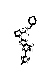 Cc1noc(-c2nc3sc(N4CCCC4C(=O)NCc4ccccc4)nc3c(=O)[nH]2)n1